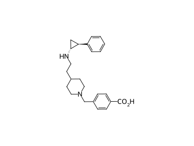 O=C(O)c1ccc(CN2CCC(CCN[C@@H]3C[C@H]3c3ccccc3)CC2)cc1